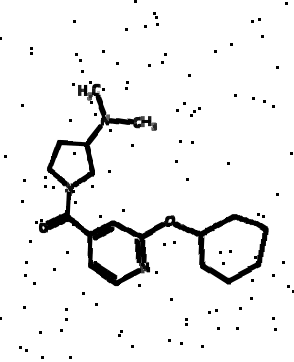 CN(C)C1CCN(C(=O)c2ccnc(OC3CCCCC3)c2)C1